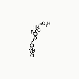 O=C(Cc1ccc(OCCCC2CCN(c3ncc(Cl)cn3)CC2)cc1F)NCCS(=O)(=O)O